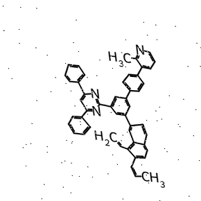 C=Cc1c(/C=C\C)ccc2ccc(-c3cc(-c4ccc(-c5cccnc5C)cc4)cc(-c4nc(-c5ccccc5)cc(-c5ccccc5)n4)c3)cc12